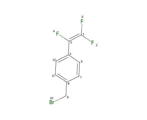 FC(F)=C(F)c1ccc(CBr)cc1